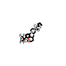 O=S(=O)(c1cccs1)N1CCN(c2ccc(C(O)(C(F)(F)F)C(F)(F)F)cc2)[C@H](CC2CCOCC2)C1